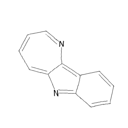 c1ccc2nc3ccccc3c-2nc1